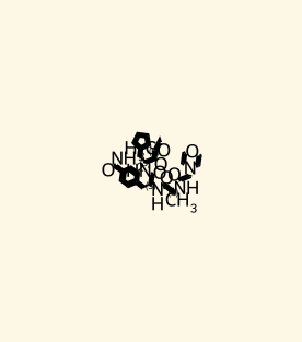 C[C@H](NC(=O)CN1CCOCC1)C(=O)N[C@@H](Cc1ccc(C(N)=O)cc1)C(=O)N[C@@H](CC1CCCC1)C(=O)[C@@]1(C)CO1